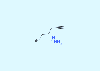 C#CCCCC(C)C.N.N